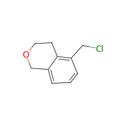 ClCc1cccc2c1CCOC2